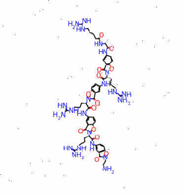 C[C@@H](NC(=O)CCCCNC(=N)N)C(=O)Nc1ccc2on([C@H](CCCNC(=N)N)C(=O)Nc3ccc4on([C@H](CCCNC(=N)N)C(=O)Nc5ccc6on([C@H](CCCNC(=N)N)C(=O)Nc7ccc8on(CCN)c(=O)c8c7)c(=O)c6c5)c(=O)c4c3)c(=O)c2c1